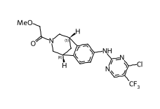 COCC(=O)N1C[C@H]2C[C@@H](C1)c1ccc(Nc3ncc(C(F)(F)F)c(Cl)n3)cc12